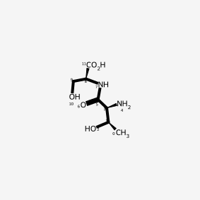 C[C@@H](O)[C@H](N)C(=O)N[C@@H](CO)C(=O)O